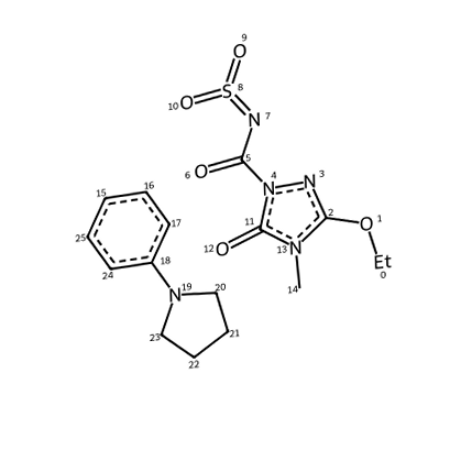 CCOc1nn(C(=O)N=S(=O)=O)c(=O)n1C.c1ccc(N2CCCC2)cc1